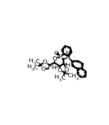 CC1(C)O[C@H]2[C@@H]([C@H]3COC(C)(C)O3)OP(=O)(c3ccccc3)[C@@H](Nc3ccc4ccccc4c3)[C@H]2O1